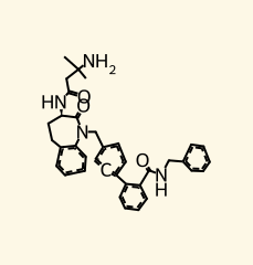 CC(C)(N)CC(=O)N[C@@H]1CCc2ccccc2N(Cc2ccc(-c3ccccc3C(=O)NCc3ccccc3)cc2)C1=O